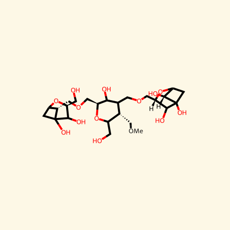 COC[C@@H]1C(CO)O[C@@H](COC[C@H]2C3CC2(O)C(O)[C@H](CO)O3)C(O)C1COC[C@@H]1OC2CC(O)(C1O)[C@@H]2O